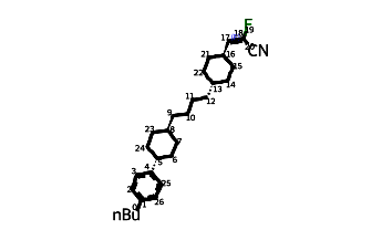 CCCCc1ccc([C@H]2CC[C@H](CCCC[C@H]3CC[C@H](/C=C(/F)C#N)CC3)CC2)cc1